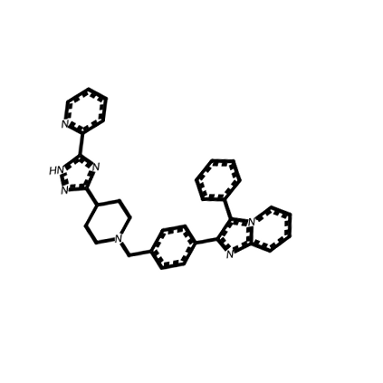 c1ccc(-c2c(-c3ccc(CN4CCC(c5n[nH]c(-c6ccccn6)n5)CC4)cc3)nc3ccccn23)cc1